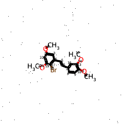 COc1cc(/C=C/c2ccc(OC)c(OC)c2)c(Br)c(OC)c1